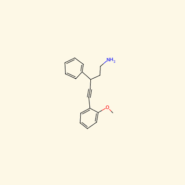 COc1ccccc1C#CC(CCN)c1ccccc1